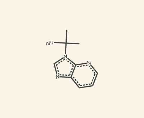 CCCC(C)(C)n1cnc2cccnc21